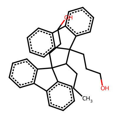 CCCC(C1(CCCO)c2ccccc2-c2ccccc21)C1(CCCO)c2ccccc2-c2ccccc21